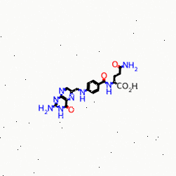 NC(=O)CCC(NC(=O)c1ccc(NCc2cnc3nc(N)[nH]c(=O)c3n2)cc1)C(=O)O